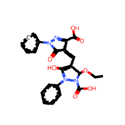 CCOC1C(C=C2C(=O)N(c3ccccc3)N=C2C(=O)O)=C(O)N(c2ccccc2)N1C(=O)O